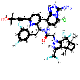 CC(C)(O)C#Cc1ccc(-c2ccc(Cl)n3c(N)nnc23)c([C@H](Cc2cc(F)cc(F)c2)NC(=O)Cn2nc(C(F)F)c3c2C(F)(F)[C@@H]2CC[C@H]32)n1